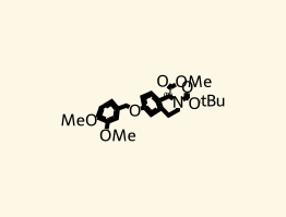 COC(=O)[C@H]1c2ccc(OCc3ccc(OC)c(OC)c3)cc2CCN1C(=O)OC(C)(C)C